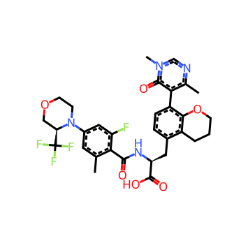 Cc1cc(N2CCOC[C@@H]2C(F)(F)F)cc(F)c1C(=O)N[C@@H](Cc1ccc(-c2c(C)ncn(C)c2=O)c2c1CCCO2)C(=O)O